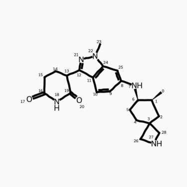 C[C@H]1CC2(CC[C@H]1Nc1ccc3c(C4CCC(=O)NC4=O)nn(C)c3c1)CNC2